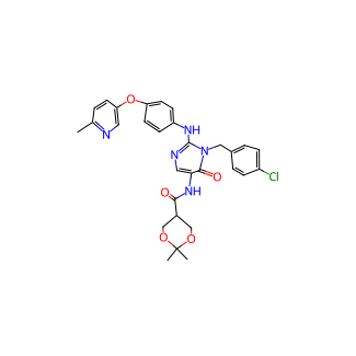 Cc1ccc(Oc2ccc(Nc3ncc(NC(=O)C4COC(C)(C)OC4)c(=O)n3Cc3ccc(Cl)cc3)cc2)cn1